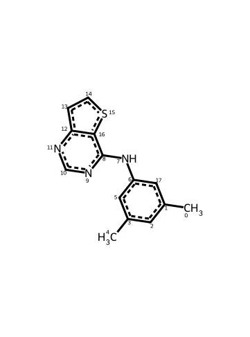 Cc1cc(C)cc(Nc2ncnc3ccsc23)c1